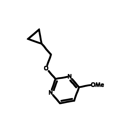 COc1ccnc(OCC2CC2)n1